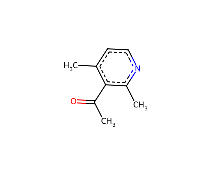 CC(=O)c1c(C)ccnc1C